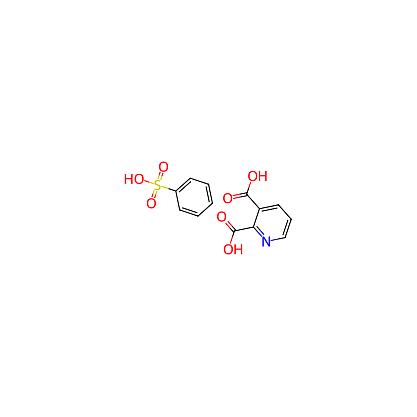 O=C(O)c1cccnc1C(=O)O.O=S(=O)(O)c1ccccc1